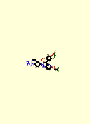 N/C=C\c1cc(-n2nc3ccc(OCC(F)F)nc3c(-c3ccc(OC(F)F)cc3)c2=O)ccc1N